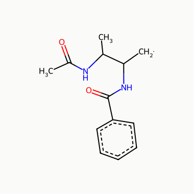 [CH2]C(NC(=O)c1ccccc1)C(C)NC(C)=O